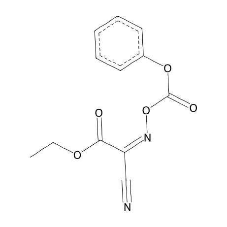 CCOC(=O)C(C#N)=NOC(=O)Oc1ccccc1